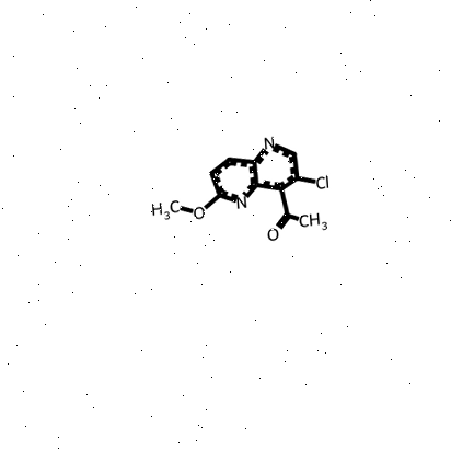 COc1ccc2ncc(Cl)c(C(C)=O)c2n1